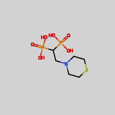 O=P(O)(O)C(CN1CCSCC1)P(=O)(O)O